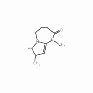 CC1C=C2N(CCCC(=O)N2C)N1